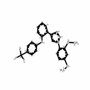 COc1ccc(-n2cc(-c3ccccc3Sc3ccc(C(F)(F)F)cc3)nn2)c(OC)c1